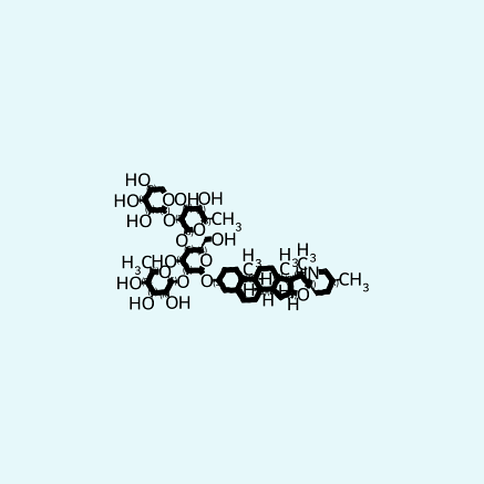 C[C@@H]1CC[C@@]2(NC1)O[C@H]1C[C@H]3[C@@H]4CC=C5C[C@@H](OC6O[C@H](CO)[C@@H](O[C@@H]7O[C@@H](C)[C@H](O)[C@@H](O)[C@H]7O[C@@H]7OC[C@@H](O)[C@H](O)[C@H]7O)[C@H](O)[C@H]6O[C@@H]6O[C@@H](C)[C@H](O)[C@@H](O)[C@H]6O)CC[C@]5(C)[C@H]4CC[C@]3(C)[C@H]1[C@@H]2C